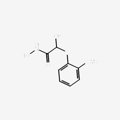 COc1ccccc1SC(C)C(=O)NO